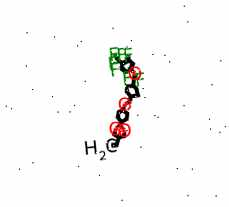 C=CC1COC(C2CCC(OCC3CCC(C(F)(F)Oc4cc(F)c(C(F)(F)F)c(F)c4)CC3)CC2)OC1